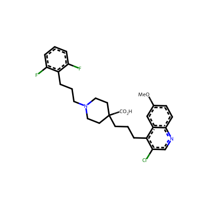 COc1ccc2ncc(Cl)c(CCCC3(C(=O)O)CCN(CCCc4c(F)cccc4F)CC3)c2c1